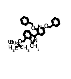 Cn1nc(-c2ccc(OCc3ccccc3)nc2OCc2ccccc2)c2cccc(CO[Si](C)(C)C(C)(C)C)c21